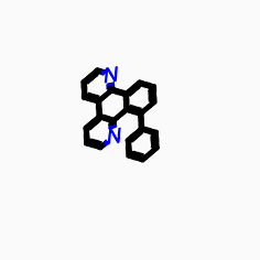 c1ccc(-c2cccc3c4ncccc4c4cccnc4c23)cc1